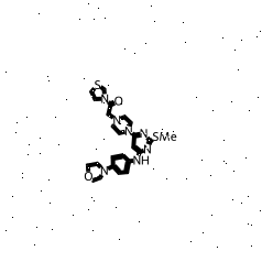 CSc1nc(Nc2ccc(N3CCOCC3)cc2)cc(N2CCN(CC(=O)N3CCSC3)CC2)n1